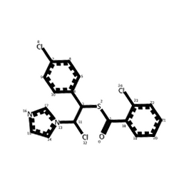 O=C(SC(c1ccc(Cl)cc1)C(Cl)n1ccnc1)c1ccccc1Cl